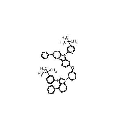 CC(C)(C)c1cccc(-[n+]2cn(-c3cccc(Oc4ccc5c6cc(-c7ccccc7)ccc6n(-c6cc(C(C)(C)C)ccn6)c5c4)c3)c3cccc(-c4ccccc4)c32)c1